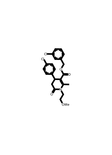 COCCN1C(=O)CC(c2ccc(Cl)cc2)C(C(=O)OCc2cccc(Cl)c2)=C1C